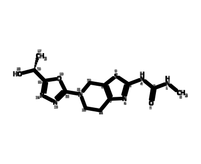 CNC(=O)Nc1nc2c(s1)CN(c1nnc([C@@H](C)O)o1)CC2